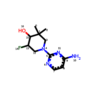 CC1(C)CN(c2nccc(N)n2)CC(F)C1O